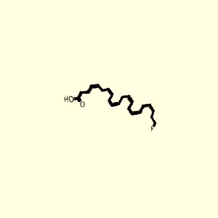 O=C(O)CC/C=C\C/C=C\C/C=C\C/C=C\C/C=C\C/C=C\CCF